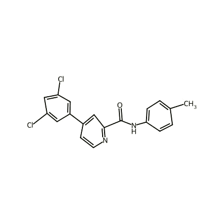 Cc1ccc(NC(=O)c2cc(-c3cc(Cl)cc(Cl)c3)ccn2)cc1